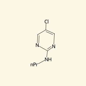 CCCNc1ncc(Cl)cn1